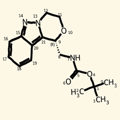 CC(C)(C)OC(=O)NC[C@H]1OCCn2nc3ccccc3c21